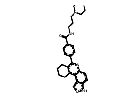 O=C(NCCCN1CCOCC1)c1ccc(-c2nc3ccc4[nH]ncc4c3c3c2CCCC3)cc1